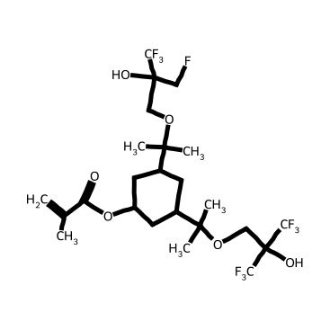 C=C(C)C(=O)OC1CC(C(C)(C)OCC(O)(CF)C(F)(F)F)CC(C(C)(C)OCC(O)(C(F)(F)F)C(F)(F)F)C1